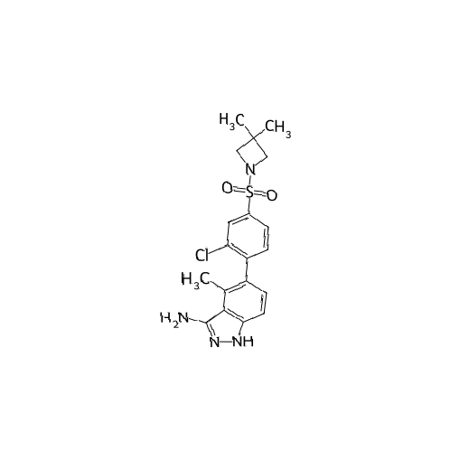 Cc1c(-c2ccc(S(=O)(=O)N3CC(C)(C)C3)cc2Cl)ccc2[nH]nc(N)c12